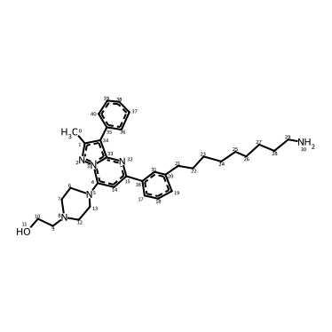 Cc1nn2c(N3CCN(CCO)CC3)cc(-c3cccc(CCCCCCCCCN)c3)nc2c1-c1ccccc1